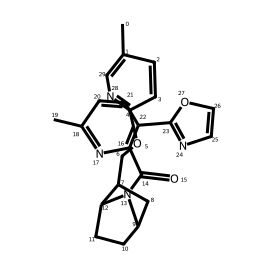 Cc1ccc(OCC2CC3CCC2N3C(=O)c2nc(C)ccc2-c2ncco2)nc1